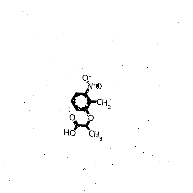 Cc1c(OC(C)C(=O)O)cccc1[N+](=O)[O-]